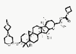 CC(C)[C@@H](OC(=O)N1CCC1)C1C[C@@H](C)[C@H]2C(O1)[C@H](O)[C@@]1(C)C3CC[C@H]4C(C)(C)[C@@H](O[C@H]5CN(C6CN(C)C6)CCO5)CC[C@@]45C[C@@]35CC[C@]21C